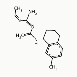 C=C(/N=C(N)\N=C/C)N[C@@H]1CCCc2ccc(C)cc21